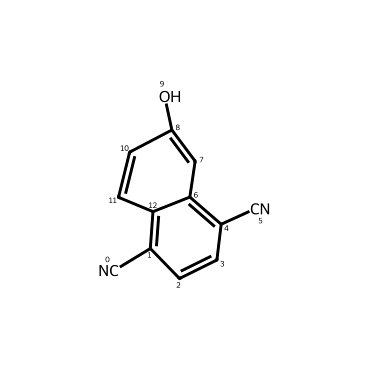 N#Cc1ccc(C#N)c2cc(O)ccc12